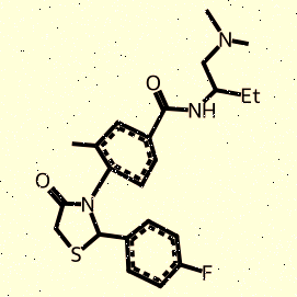 CCC(CN(C)C)NC(=O)c1ccc(N2C(=O)CSC2c2ccc(F)cc2)c(C)c1